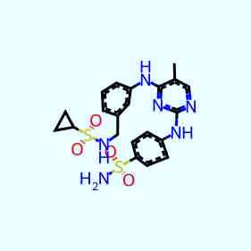 Cc1cnc(Nc2ccc(S(N)(=O)=O)cc2)nc1Nc1cccc(CNS(=O)(=O)C2CC2)c1